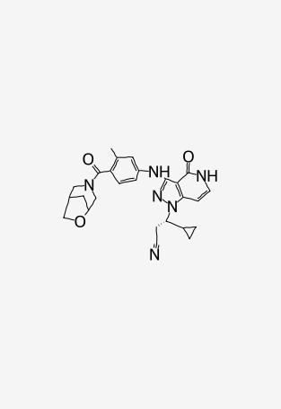 Cc1cc(Nc2nn([C@@H](CC#N)C3CC3)c3cc[nH]c(=O)c23)ccc1C(=O)N1CC2COC(C2)C1